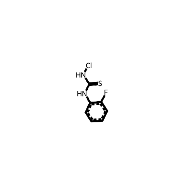 Fc1ccccc1NC(=S)NCl